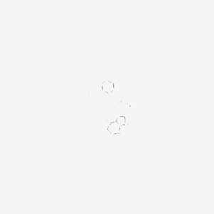 Cc1cccc(OC(=O)N2CCC[C@@H]2c2nc3c(=O)n(C)c(C4CCOCC4)nc3s2)c1